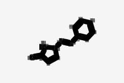 O=c1ccn(/N=N/c2ccccc2)[nH]1